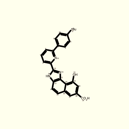 CC(C)(C)c1ccc(-c2cccc(-c3nc4c(ccc5cc(C(=O)O)cc(O)c54)[nH]3)n2)cc1